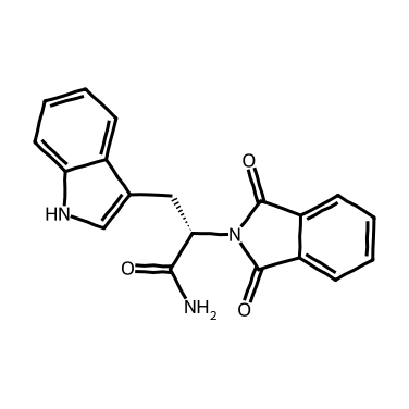 NC(=O)[C@H](Cc1c[nH]c2ccccc12)N1C(=O)c2ccccc2C1=O